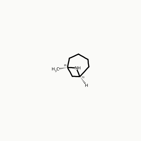 C[C@@]12CCCC[C@@H](C1)N2